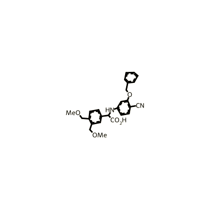 COCc1ccc(C(Nc2ccc(C#N)c(OCc3ccccc3)c2)C(=O)O)cc1COC